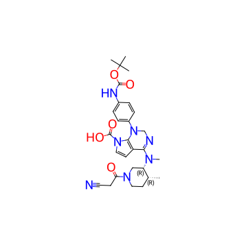 C[C@@H]1CCN(C(=O)CC#N)C[C@@H]1N(C)C1=NCN(c2ccc(NC(=O)OC(C)(C)C)cc2)c2c1ccn2C(=O)O